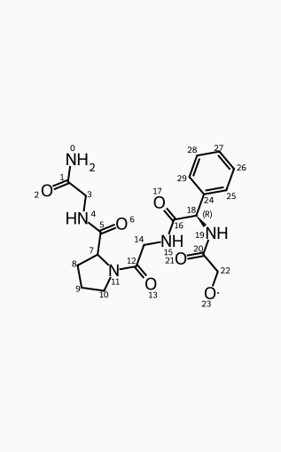 NC(=O)CNC(=O)C1CCCN1C(=O)CNC(=O)[C@H](NC(=O)C[O])c1ccccc1